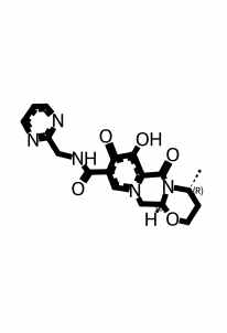 C[C@@H]1CCO[C@H]2Cn3cc(C(=O)NCc4ncccn4)c(=O)c(O)c3C(=O)N12